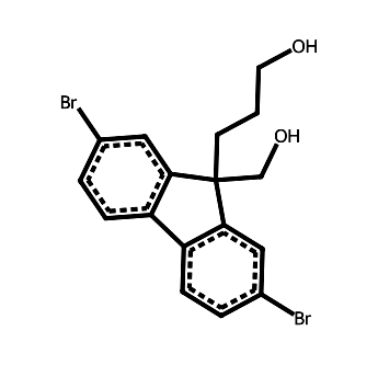 OCCCC1(CO)c2cc(Br)ccc2-c2ccc(Br)cc21